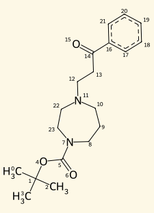 CC(C)(C)OC(=O)N1CCCN(CCC(=O)c2ccccc2)CC1